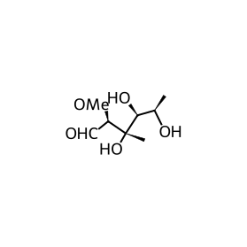 CO[C@H](C=O)[C@@](C)(O)[C@@H](O)[C@@H](C)O